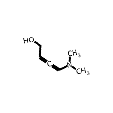 CN(C)C=C=CCO